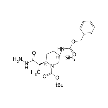 CC(C(=O)NN)[C@H]1CC[C@@]([SiH3])(NC(=O)OCc2ccccc2)CN1C(=O)OC(C)(C)C